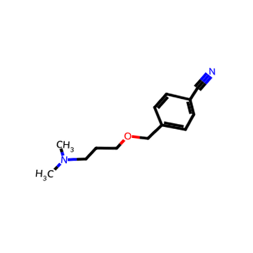 CN(C)CCCOCc1ccc(C#N)cc1